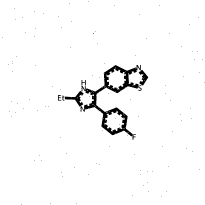 CCc1nc(-c2ccc(F)cc2)c(-c2ccc3ncsc3c2)[nH]1